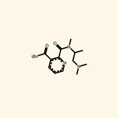 CC(CN(C)C)N(C)C(=O)c1ncccc1C(=O)C(C)(C)C